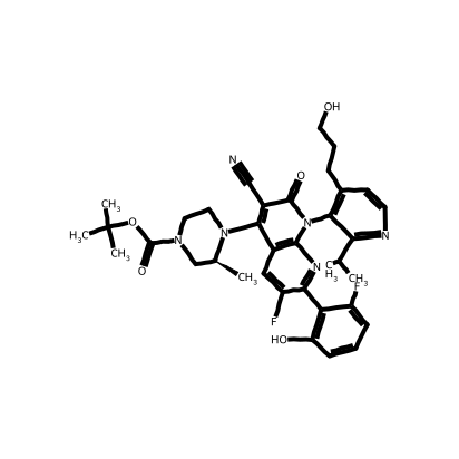 CC(C)c1nccc(CCCO)c1-n1c(=O)c(C#N)c(N2CCN(C(=O)OC(C)(C)C)C[C@@H]2C)c2cc(F)c(-c3c(O)cccc3F)nc21